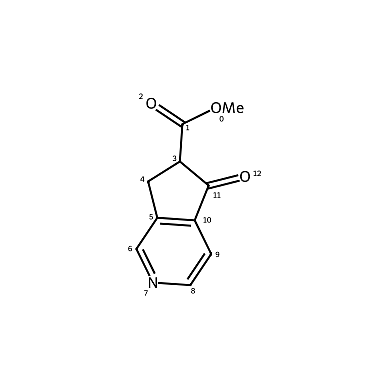 COC(=O)C1Cc2cnccc2C1=O